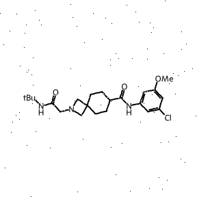 COc1cc(Cl)cc(NC(=O)C2CCC3(CC2)CN(CC(=O)NC(C)(C)C)C3)c1